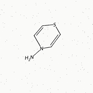 NN1C=CSC=C1